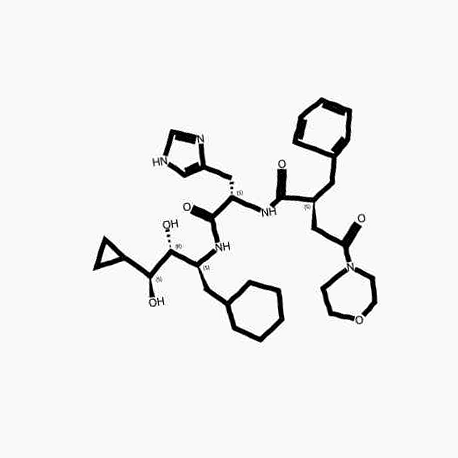 O=C(N[C@@H](Cc1c[nH]cn1)C(=O)N[C@@H](CC1CCCCC1)[C@@H](O)[C@@H](O)C1CC1)[C@H](CC(=O)N1CCOCC1)Cc1ccccc1